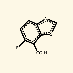 O=C(O)c1c(F)ccc2ncsc12